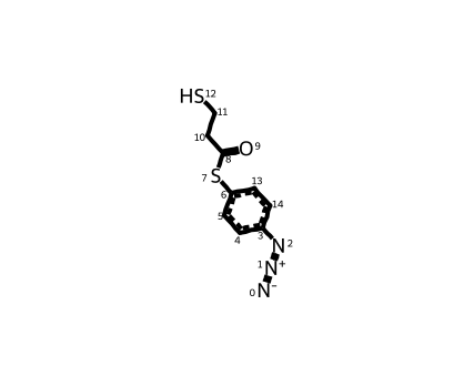 [N-]=[N+]=Nc1ccc(SC(=O)CCS)cc1